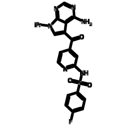 CC(C)n1cc(C(=O)c2ccnc(NS(=O)(=O)c3ccc(F)cc3)c2)c2c(N)ncnc21